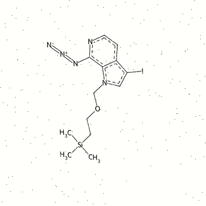 C[Si](C)(C)CCOCn1cc(I)c2ccnc(N=[N+]=[N-])c21